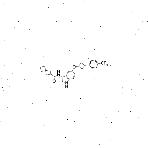 O=C(Nc1c[nH]c2ccc(OC3CC(c4ccc(C(F)(F)F)cc4)C3)cc12)C1CC2(CCC2)C1